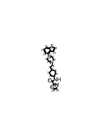 O=C(NC1CCC(CCN2CCN(c3cccc4sccc34)CC2)CC1)c1ncco1